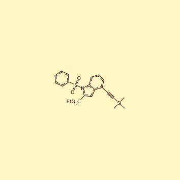 CCOC(=O)c1cc2c(C#C[Si](C)(C)C)cccc2n1S(=O)(=O)c1ccccc1